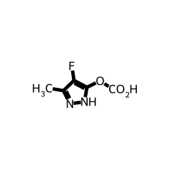 Cc1n[nH]c(OC(=O)O)c1F